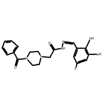 CCCc1cc(F)cc(/C=N\NC(=O)CN2CCN(C(=O)c3ccccc3)CC2)c1O